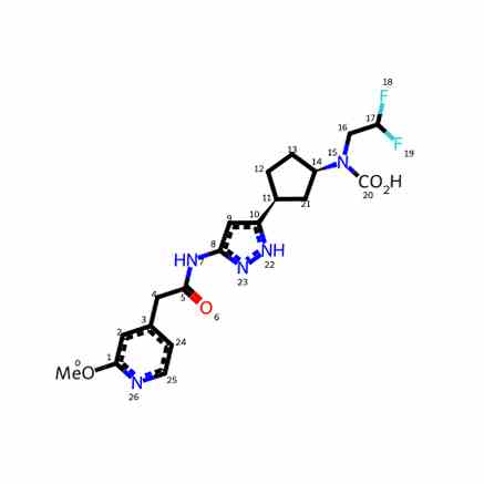 COc1cc(CC(=O)Nc2cc([C@H]3CC[C@@H](N(CC(F)F)C(=O)O)C3)[nH]n2)ccn1